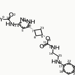 CC(C)C(=O)Nc1cc([C@H]2C[C@@H](OC(=O)NCCNc3ccccc3)C2)[nH]n1